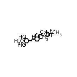 C=C1[C@H](O)CC(=C/C=C2\CCC[C@]3(C)[C@@H]([C@H](C)CN4CCC(C(C)(F)F)CC4)CC[C@@H]23)C[C@H]1O